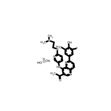 CC(=O)c1cnc2ccc(-c3cc(F)c(O)c(Cl)c3)nc2c1Nc1ccc(NCCN(C)C)nc1.Cl.Cl.Cl